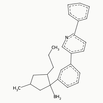 BC1(c2cccc(-c3ccc(-c4ccccc4)nc3)c2)CC(C)CC1CCC